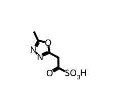 Cc1nnc(CC(=O)S(=O)(=O)O)o1